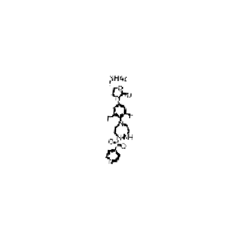 CC(=O)NC[C@H]1CN(c2cc(F)c(N3CCNN(S(=O)(=O)c4ccncc4)CC3)c(F)c2)C(=O)O1